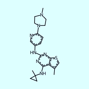 Cc1csc2nc(Nc3ccc(N4CCN(C)CC4)nc3)nc(NC3(C)CC3)c12